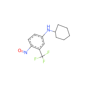 O=Nc1ccc(NC2CCCCC2)cc1C(F)(F)F